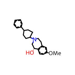 COc1ccc2c(c1)CCN(C1CCC(c3ccccc3)CC1)C[C@H]2O